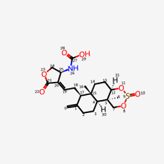 C=C1CC[C@@H]2[C@]3(C)COS(=O)O[C@@H]3CC[C@@]2(C)[C@@H]1C/C=C1/C(=O)OC[C@H]1NC(=O)O